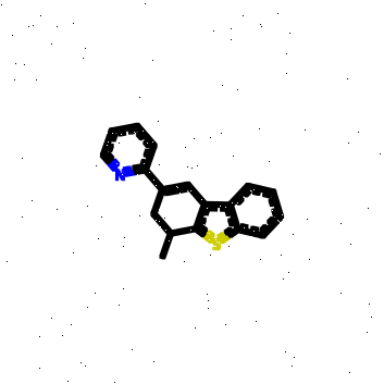 CC1CC(c2ccccn2)=Cc2c1sc1ccccc21